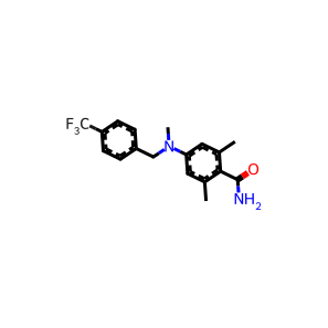 Cc1cc(N(C)Cc2ccc(C(F)(F)F)cc2)cc(C)c1C(N)=O